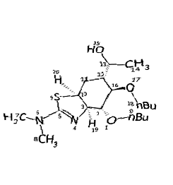 CCCCO[C@@H]1[C@H]2N=C(N(C)C)S[C@H]2C[C@H](C(C)O)[C@H]1OCCCC